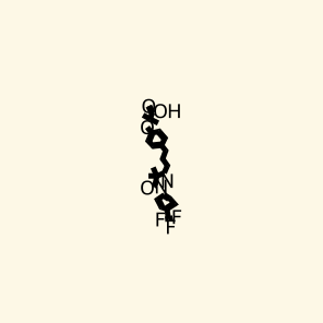 CC(C)(Oc1ccc(CCCC2=NN(c3ccc(C(F)(F)F)cc3)C(=O)C2(C)C)cc1)C(=O)O